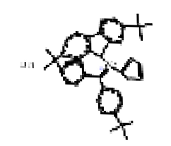 CC(C)(C)c1ccc(/[C](c2ccccc2)=[Zr+2](\[C]2=CC=CC2)[CH]2c3cc(C(C)(C)C)ccc3-c3ccc(C(C)(C)C)cc32)cc1.[Cl-].[Cl-]